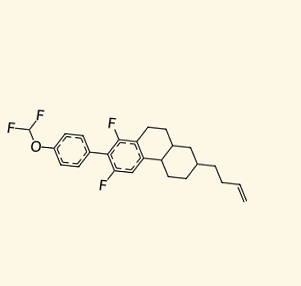 C=CCCC1CCC2c3cc(F)c(-c4ccc(OC(F)F)cc4)c(F)c3CCC2C1